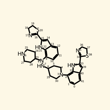 c1cc(N2CCC(NN(c3cccc4cc(C5=NCCS5)[nH]c34)C3CCNCC3)CC2)c2[nH]c(C3=NCCS3)cc2c1